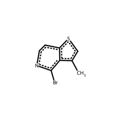 Cc1csc2ccnc(Br)c12